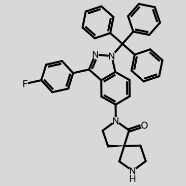 O=C1N(c2ccc3c(c2)c(-c2ccc(F)cc2)nn3C(c2ccccc2)(c2ccccc2)c2ccccc2)CC[C@]12CCNC2